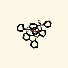 O=P(c1ccccc1)(c1ccccc1)c1cccc2c1nc1c3c(P(=O)(c4ccccc4)c4ccccc4)cccc3c3ccccc3n21